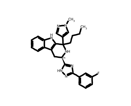 CCCCC1(c2cnn(C)c2)N[C@@H](c2nc(-c3cccc(F)c3)n[nH]2)Cc2c1[nH]c1ccccc21